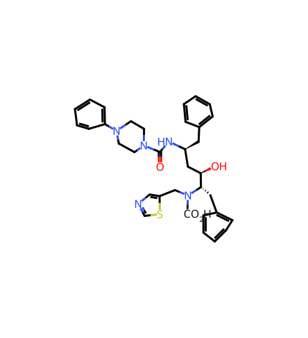 O=C(N[C@@H](Cc1ccccc1)C[C@@H](O)[C@H](Cc1ccccc1)N(Cc1cncs1)C(=O)O)N1CCN(c2ccccc2)CC1